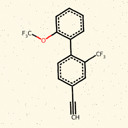 C#Cc1ccc(-c2ccccc2OC(F)(F)F)c(C(F)(F)F)c1